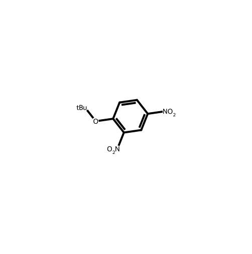 [CH2]C(C)(C)Oc1ccc([N+](=O)[O-])cc1[N+](=O)[O-]